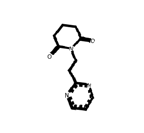 O=C1CCCC(=O)N1CCc1ncccn1